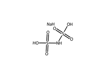 O=S(=O)(O)NS(=O)(=O)O.[NaH]